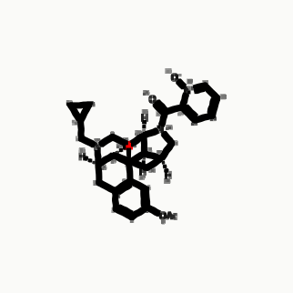 CC(=O)Oc1ccc2c(c1)[C@]13CCN(CC4CC4)[C@H](C2)[C@]12CC[C@@H]1[C@H]3[C@@H](CN1C(=O)c1cccc[n+]1[O-])C2